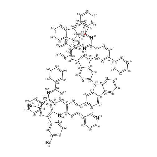 CC(C)(C)c1ccc2c(c1)c1cc(C(C)(C)C)ccc1n2-c1cc(-c2cccnc2)c(-c2ccc3c4ccccc4n(-c4ccc5c6ccc(-n7c8ccccc8c8ccccc87)cc6n(-c6cc(-c7cccnc7)ccc6-c6nc(-c7ccccc7)nc(-c7ccccc7)n6)c5c4)c3c2)cc1-c1nc(-c2ccccc2)nc(-c2ccccc2)n1